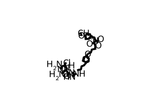 COc1ccc(CN2C(=O)OC(CCCOc3ccc(CCCCNC(=N)NC(=O)c4nc(Cl)c(N)nc4N)cc3)C2=O)cc1